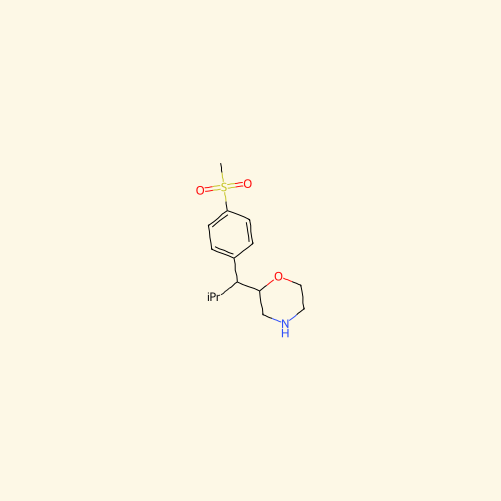 CC(C)C(c1ccc(S(C)(=O)=O)cc1)C1CNCCO1